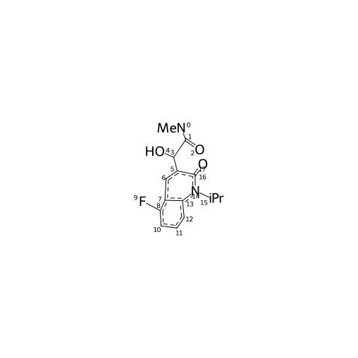 CNC(=O)C(O)c1cc2c(F)cccc2n(C(C)C)c1=O